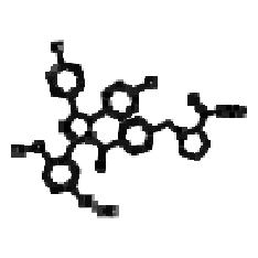 CCOc1ccc(C(F)(F)F)cc1C1=NC(c2ccc(Cl)cc2)C(c2ccc(Cl)cc2)N1C(=O)c1ccc(CN2CCCC2C(=O)OC)cc1.Cl